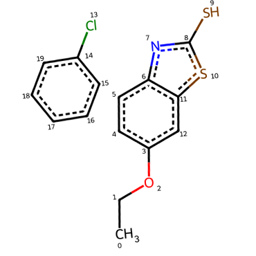 CCOc1ccc2nc(S)sc2c1.Clc1ccccc1